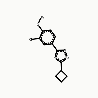 CC(C)Oc1ccc(-c2noc(C3CCC3)n2)cc1Cl